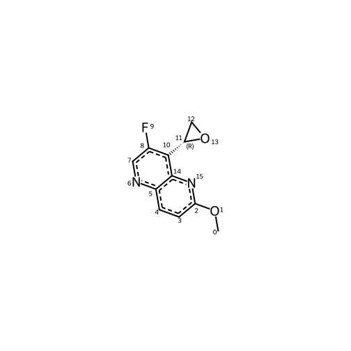 COc1ccc2ncc(F)c([C@@H]3CO3)c2n1